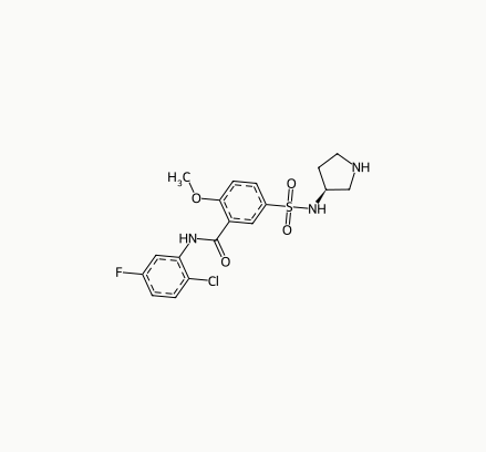 COc1ccc(S(=O)(=O)N[C@H]2CCNC2)cc1C(=O)Nc1cc(F)ccc1Cl